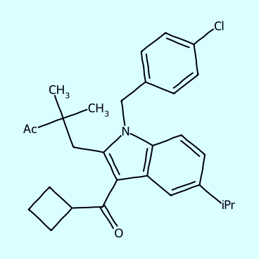 CC(=O)C(C)(C)Cc1c(C(=O)C2CCC2)c2cc(C(C)C)ccc2n1Cc1ccc(Cl)cc1